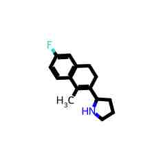 CC1=C(C2CCCN2)CCc2cc(F)ccc21